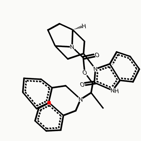 CC(COC(=O)N1C2CC[C@H]1CC(n1c(=O)[nH]c3ccccc31)C2)N(Cc1ccccc1)Cc1ccccc1